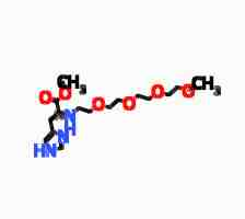 COCCOCCOCCOCCN[C@@H](Cc1c[nH]cn1)C(=O)OC